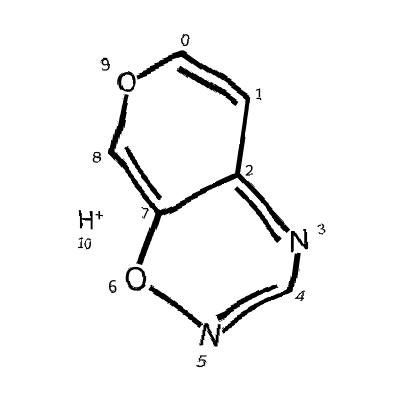 C1=CC2=NC=NOC2=CO1.[H+]